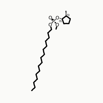 CCCCCCCCCCCCCCCCOP(=O)(OC)O[C@H]1CCC[C@@H]1C